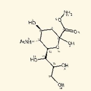 CC(=O)N[C@@H]1[C@@H](O)CC(O)(C(=O)ON)O[C@H]1C(O)C(O)CO